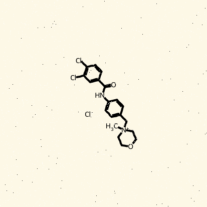 C[N+]1(Cc2ccc(NC(=O)c3ccc(Cl)c(Cl)c3)cc2)CCOCC1.[Cl-]